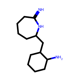 N=C1CCCCC(CC2CCCCC2N)N1